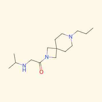 CCCN1CCC2(CC1)CN(C(=O)CNC(C)C)C2